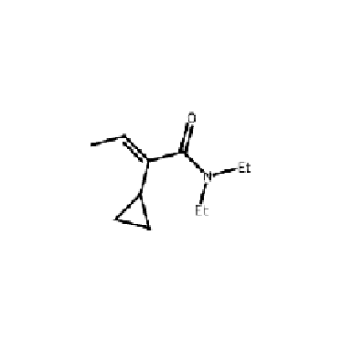 C/C=C(/C(=O)N(CC)CC)C1CC1